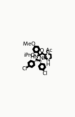 COc1ccc(C2(C(=O)C3CNCCN3C(C)=O)N[C@H](c3ccc(Cl)cc3)[C@H](c3ccc(Cl)cc3)N2)c(OC(C)C)c1